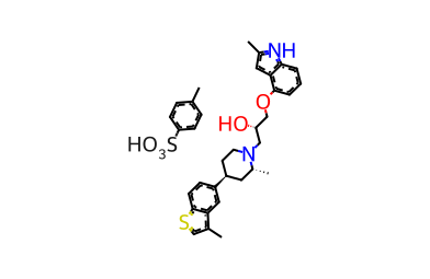 Cc1cc2c(OC[C@@H](O)CN3CC[C@H](c4ccc5scc(C)c5c4)C[C@H]3C)cccc2[nH]1.Cc1ccc(S(=O)(=O)O)cc1